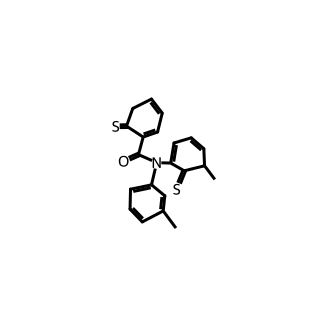 Cc1cccc(N(C(=O)C2=CC=CCC2=S)C2=CC=CC(C)C2=S)c1